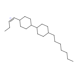 CC/C=C\C1CCC(C2CCC(CCCCCCC)CC2)CC1